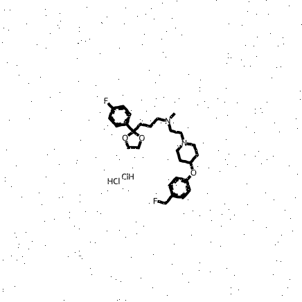 CN(CCCC1(c2ccc(F)cc2)OCCO1)CCN1CCC(Oc2ccc(CF)cc2)CC1.Cl.Cl